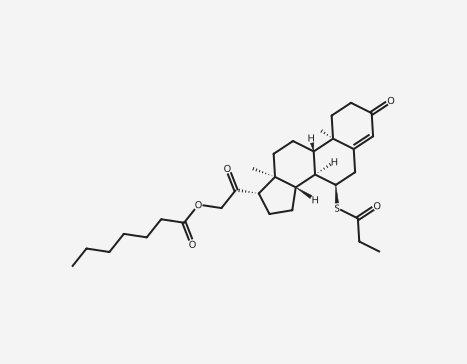 CCCCCCC(=O)OCC(=O)[C@H]1CC[C@H]2[C@@H]3[C@H](SC(=O)CC)CC4=CC(=O)CC[C@]4(C)[C@H]3CC[C@]12C